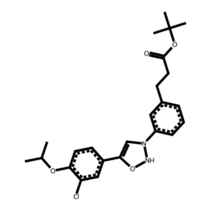 CC(C)Oc1ccc(C2=CN(c3cccc(CCC(=O)OC(C)(C)C)c3)NO2)cc1Cl